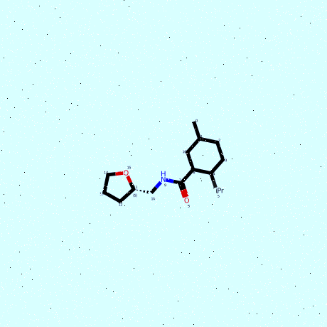 CC1CCC(C(C)C)C(C(=O)NC[C@@H]2CCCO2)C1